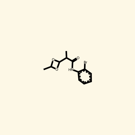 CC1OC(C(C)C(=O)Nc2ccccc2Br)O1